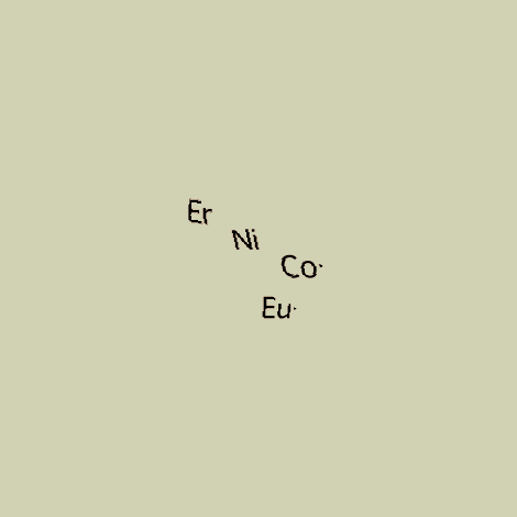 [Co].[Er].[Eu].[Ni]